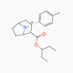 CCC(CC)OC(=O)C1C2CCC(C[C@@H]1c1ccc(C)cc1)N2C